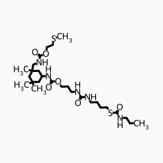 CCCNC(=O)SCCCCNC(=O)NCCCOC(=O)NC1CC(C)(C)CC(C)(CNC(=O)OCCSC)C1